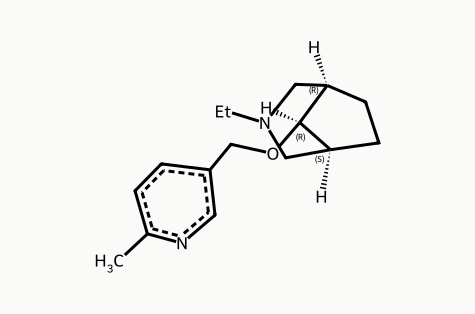 CCN1C[C@H]2CC[C@@H](C1)[C@H]2OCc1ccc(C)nc1